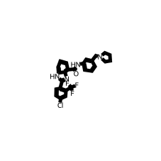 O=C(Nc1cccc(CN2CCCC2)c1)c1cccc2[nH]c(-c3ccc(Cl)cc3C(F)(F)F)nc12